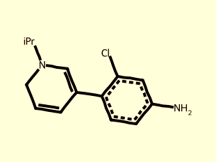 CC(C)N1C=C(c2ccc(N)cc2Cl)C=CC1